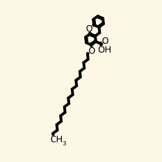 CCCCCCCCCCCCCCCCCCCCOc1ccc2c(c1C(=O)O)Cc1ccccc1O2